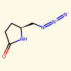 [N-]=[N+]=NC[C@@H]1CCC(=O)N1